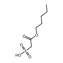 CCCCCOC(=O)CS(=O)(=O)O